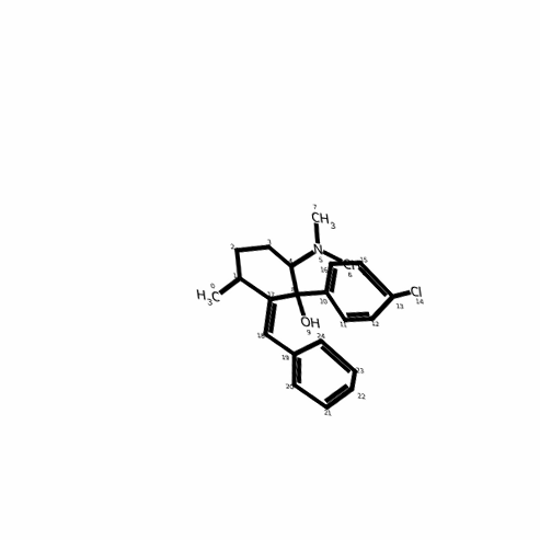 CC1CCC(N(C)C)C(O)(c2ccc(Cl)cc2)C1=Cc1ccccc1